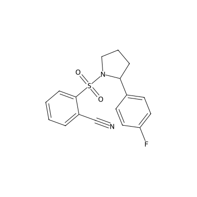 N#Cc1ccccc1S(=O)(=O)N1CCCC1c1ccc(F)cc1